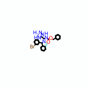 N/N=C1\Nc2ccc(Br)cc2C(c2ccccc2F)=NC1NC(=O)OCc1ccccc1